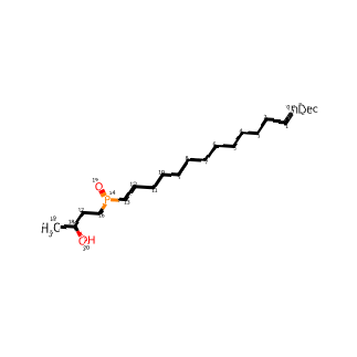 CCCCCCCCCCCCCCCCCCCCCCC[P](=O)CCC(C)O